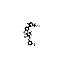 COc1cccc(COc2nc(C)n(-c3cc(-c4nc(C(C)(C)O)ncc4C)ccc3Cl)c(=O)c2Br)c1